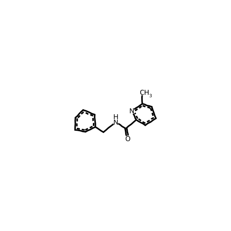 Cc1cccc(C(=O)NCc2ccccc2)n1